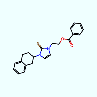 O=C(OCCn1ccn(C2CCc3ccccc3C2)c1=S)c1ccccc1